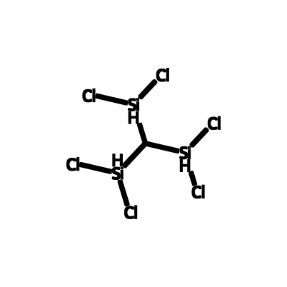 Cl[SiH](Cl)C([SiH](Cl)Cl)[SiH](Cl)Cl